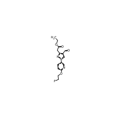 CCOC(=O)Cc1nn(-c2ccc(OCCF)nc2)cc1C=O